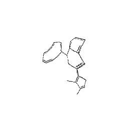 CC1=CCC(C2=Cc3ccccc3C(c3ccccc3)C2)=C1C